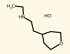 CCNCCC1CCOCC1.Cl